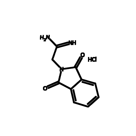 Cl.N=C(N)CN1C(=O)c2ccccc2C1=O